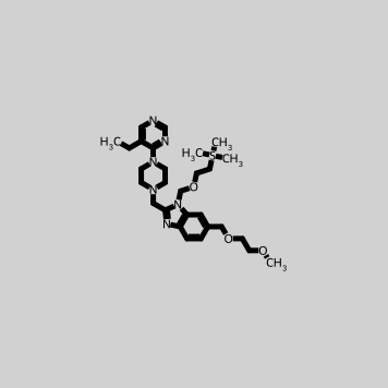 CCc1cncnc1N1CCN(Cc2nc3ccc(COCCOC)cc3n2COCCS(C)(C)C)CC1